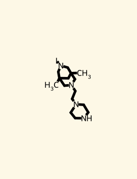 CC12CN(I)CC(C)(CN(CCN3CCNCC3)C1)C2